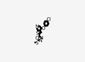 CSc1nnc(-c2cc3c(Oc4ccc(Cl)cc4)cncc3s2)o1